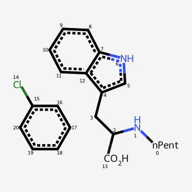 CCCCCNC(Cc1c[nH]c2ccccc12)C(=O)O.Clc1ccccc1